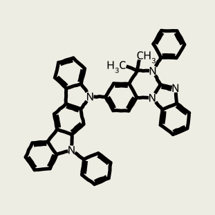 CC1(C)c2cc(-n3c4ccccc4c4cc5c6ccccc6n(-c6ccccc6)c5cc43)ccc2-n2c(nc3ccccc32)N1c1ccccc1